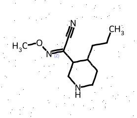 CCCC1CCNCC1/C(C#N)=N/OC